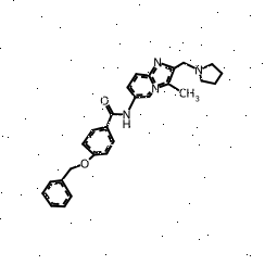 Cc1c(CN2CCCC2)nc2ccc(NC(=O)c3ccc(OCc4ccccc4)cc3)cn12